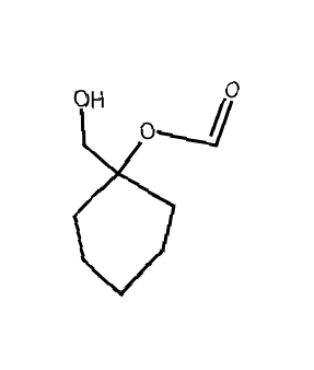 O=COC1(CO)CCCCC1